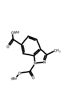 COC(=O)c1ccc2c(C)nn(C(=O)OC(C)(C)C)c2c1